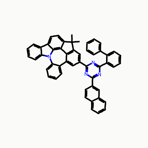 CC1(C)c2cc(-c3nc(-c4ccc5ccccc5c4)nc(-c4ccccc4-c4ccccc4)n3)cc3c2-c2c1ccc1c4ccccc4n(c21)-c1ccccc1-3